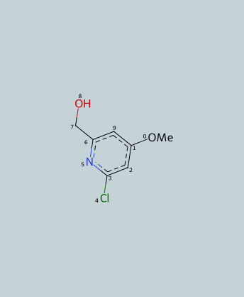 COc1cc(Cl)nc(CO)c1